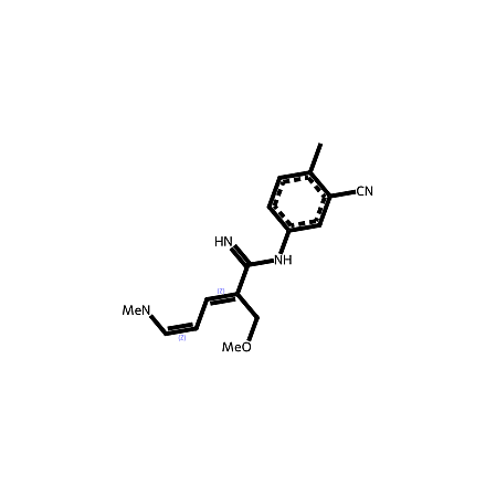 CN/C=C\C=C(/COC)C(=N)Nc1ccc(C)c(C#N)c1